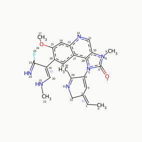 C/C=C1\C=C(n2c(=O)n(C)c3cnc4cc(OC)c(/C(=C/NC)C(=N)F)cc4c32)C(C)=NC1